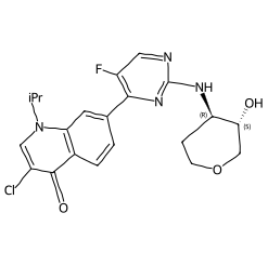 CC(C)n1cc(Cl)c(=O)c2ccc(-c3nc(N[C@@H]4CCOC[C@H]4O)ncc3F)cc21